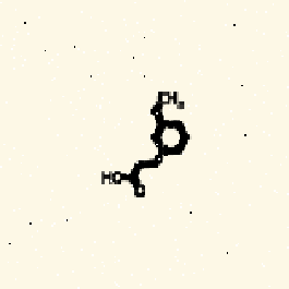 CCC1CCCN(CCC(=O)O)C1